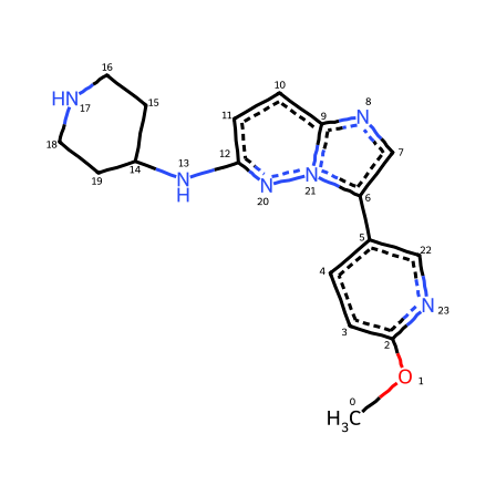 COc1ccc(-c2cnc3ccc(NC4CCNCC4)nn23)cn1